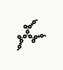 C=Cc1ccc(C(C)(C)c2ccc3c(c2)c2ccccc2n3-c2ccc(N(c3ccc(-n4c5ccccc5c5cc(C(C)(C)c6ccc(C=C)cc6)ccc54)cc3)c3ccc(-n4c5ccccc5c5cc(C(C)(C)c6ccc(C=C)cc6)ccc54)cc3)cc2)cc1